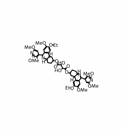 CCOc1cc2c(cc1OC)C(c1cc(OC)nnc1OC)=N[C@H]1CC[C@H](OC(=O)C(O)C(O)C(=O)O[C@H]3CC[C@@H]4N=C(c5cc(OC)nnc5OC)c5cc(OC)c(OCC)cc5[C@@H]4C3)C[C@@H]21